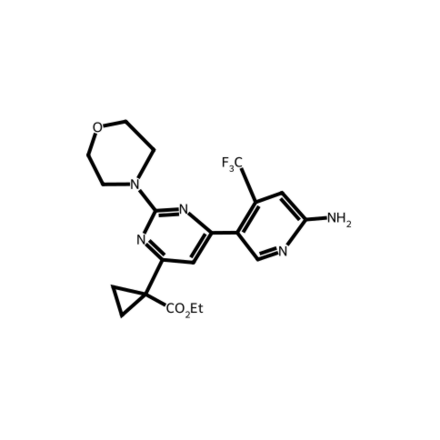 CCOC(=O)C1(c2cc(-c3cnc(N)cc3C(F)(F)F)nc(N3CCOCC3)n2)CC1